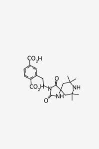 CC1(C)CC2(CC(C)(C)N1)NC(=O)N(CCc1cc(C(=O)O)ccc1C(=O)O)C2=O